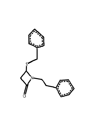 O=C1CC(SCc2ccccc2)N1CCc1ccccc1